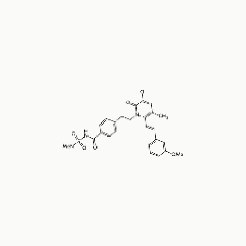 CNS(=O)(=O)NC(=O)c1ccc(CCn2c(/C=C/c3cccc(OC)c3)c(C)cc(Cl)c2=O)cc1